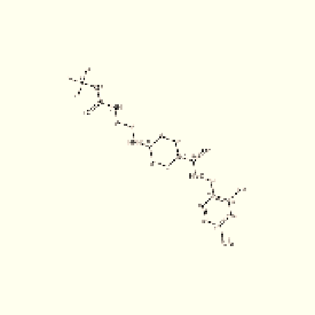 CC(C)(C)OC(=O)NCCNC1CCN(C(=O)NCc2ccc(N)cc2F)CC1